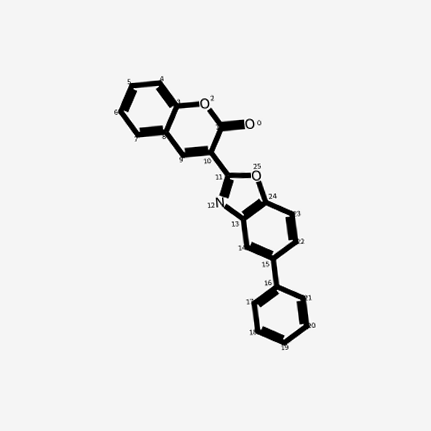 O=c1oc2ccccc2cc1-c1nc2cc(-c3ccccc3)ccc2o1